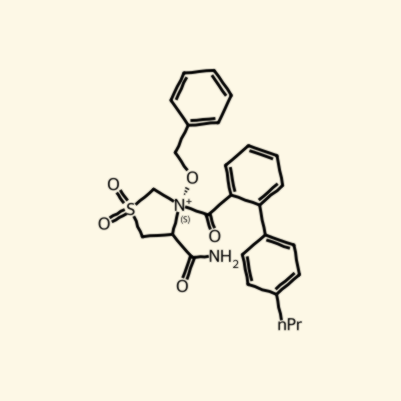 CCCc1ccc(-c2ccccc2C(=O)[N@+]2(OCc3ccccc3)CS(=O)(=O)CC2C(N)=O)cc1